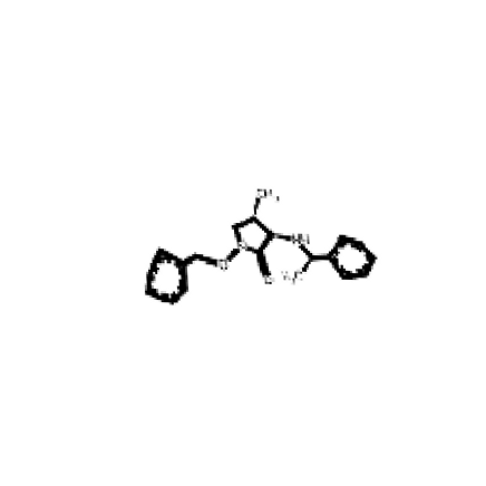 C[C@@H]1CN(OCc2ccccc2)C(=O)[C@@H]1N[C@H](C)c1ccccc1